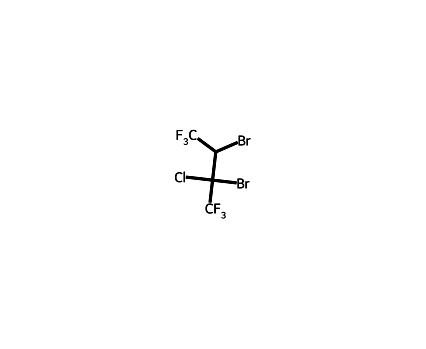 FC(F)(F)C(Br)C(Cl)(Br)C(F)(F)F